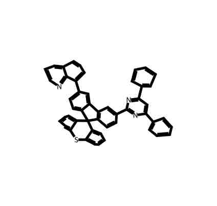 c1ccc(-c2cc(-c3ccccc3)nc(-c3ccc4c(c3)-c3cc(-c5cccc6cccnc56)ccc3C43c4ccccc4Sc4ccccc43)n2)cc1